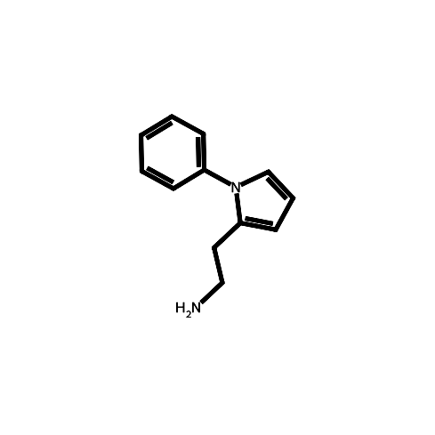 NCCc1cccn1-c1ccccc1